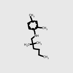 CCCCC(C)(C)CNc1ccc(C)cc1C